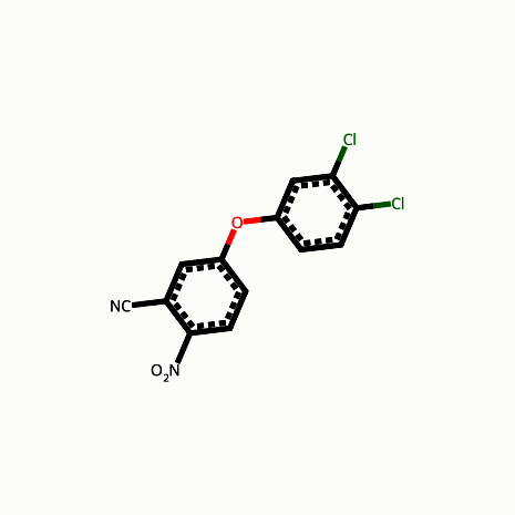 N#Cc1cc(Oc2ccc(Cl)c(Cl)c2)ccc1[N+](=O)[O-]